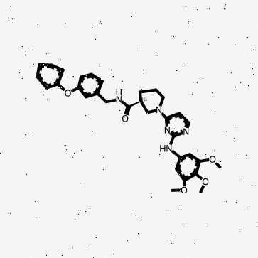 COc1cc(Nc2nccc(N3CCC[C@H](C(=O)NCc4cccc(Oc5ccccc5)c4)C3)n2)cc(OC)c1OC